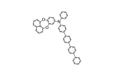 c1ccc(-c2ccc(-c3ccc(-c4ccc(N(c5ccccc5)c5ccc6c(c5)Oc5cccc7cccc(c57)O6)cc4)cc3)cc2)cc1